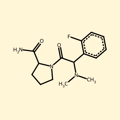 CN(C)C(C(=O)N1CCCC1C(N)=O)c1ccccc1F